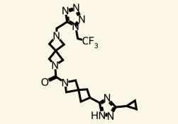 O=C(N1CC2(CC(c3nc(C4CC4)n[nH]3)C2)C1)N1CC2(CN(Cc3nnnn3CC(F)(F)F)C2)C1